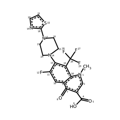 Cn1cc(C(=O)O)c(=O)c2cc(F)c(N3CCN(c4nccs4)CC3)c(C(F)(F)F)c21